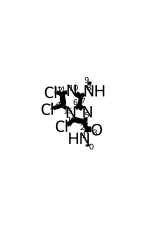 CNC(=O)c1nc2c(NC)nc(Cl)c(Cl)n2c1Cl